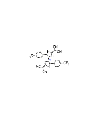 N#CC(C#N)=c1nc(-c2ccc(C(F)(F)F)cc2)/c(=c2\oc(=C(C#N)C#N)nc2-c2ccc(C(F)(F)F)cc2)o1